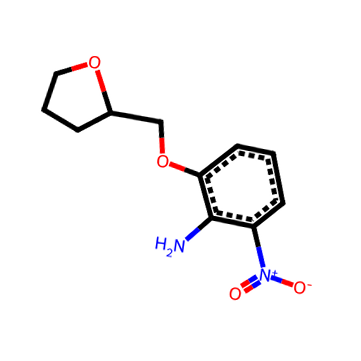 Nc1c(OCC2CCCO2)cccc1[N+](=O)[O-]